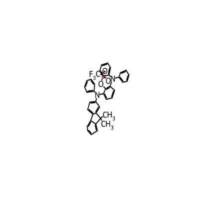 CC1(C)c2ccccc2-c2ccc(N(c3ccccc3)c3cccc(N(c4ccccc4)c4ccccc4)c3OS(=O)(=O)C(F)(F)F)cc21